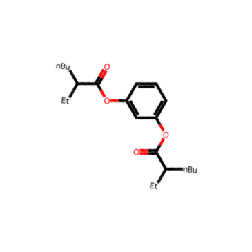 CCCCC(CC)C(=O)Oc1cccc(OC(=O)C(CC)CCCC)c1